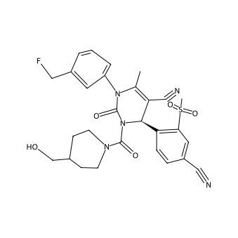 CC1=C(C#N)[C@@H](c2ccc(C#N)cc2S(C)(=O)=O)N(C(=O)N2CCC(CO)CC2)C(=O)N1c1cccc(CF)c1